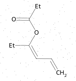 C=C/C=C(/CC)OC(=O)CC